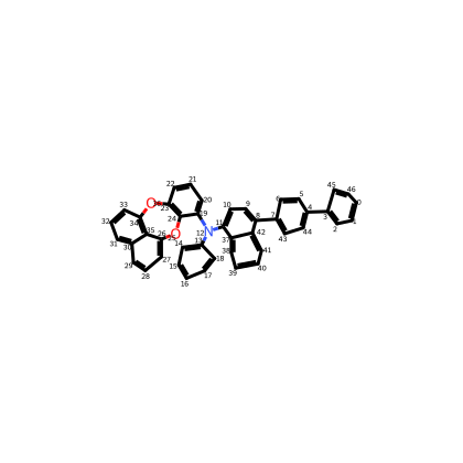 c1ccc(-c2ccc(-c3ccc(N(c4ccccc4)c4cccc5c4Oc4cccc6cccc(c46)O5)c4ccccc34)cc2)cc1